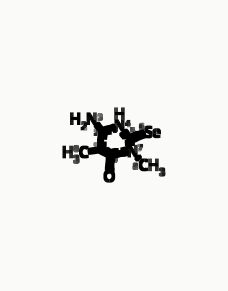 Cc1c(N)[nH]c(=[Se])n(C)c1=O